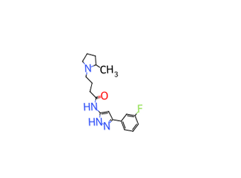 CC1CCCN1CCCC(=O)Nc1cc(-c2cccc(F)c2)n[nH]1